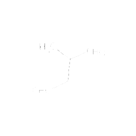 CC(C=O)CC=O